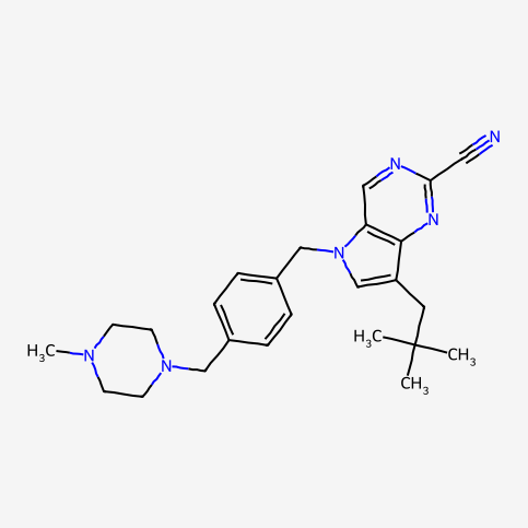 CN1CCN(Cc2ccc(Cn3cc(CC(C)(C)C)c4nc(C#N)ncc43)cc2)CC1